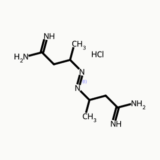 CC(CC(=N)N)/N=N/C(C)CC(=N)N.Cl